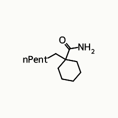 CCCCCCC1(C(N)=O)CCCCC1